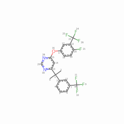 CC(C)(c1cccc(C(F)(F)F)c1)c1cc(Oc2ccc(F)c(C(F)(F)F)c2)ncn1